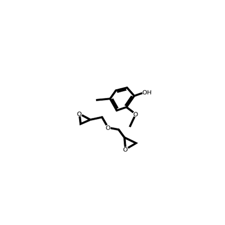 C(OCC1CO1)C1CO1.COc1cc(C)ccc1O